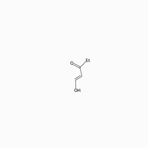 CCC(=O)/C=C/O